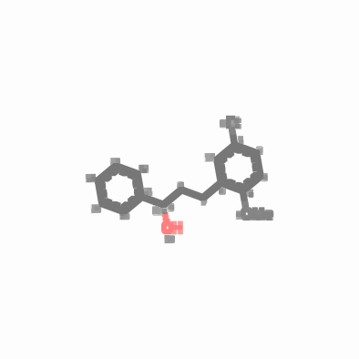 CCc1ccc(OC)c(CC[C@H](O)c2ccccc2)c1